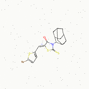 O=C1/C(=C/c2ccc(Br)s2)SC(=S)N1C1C2CC3CC(C2)CC1C3